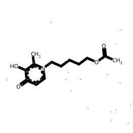 CC(=O)OCCCCCn1ccc(=O)c(O)c1C